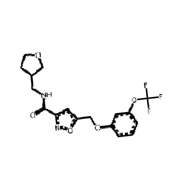 O=C(NCC1CCOC1)c1cc(COc2cccc(OC(F)(F)F)c2)on1